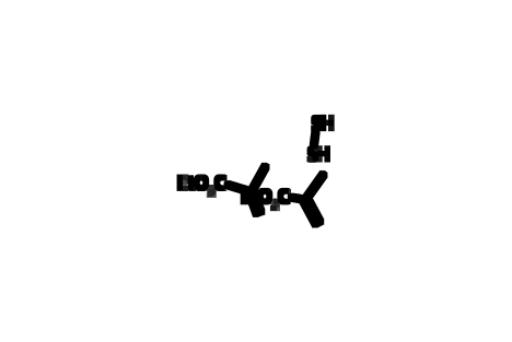 C=C(C)C(=O)OCC.C=C(C)C(=O)OCC.SS